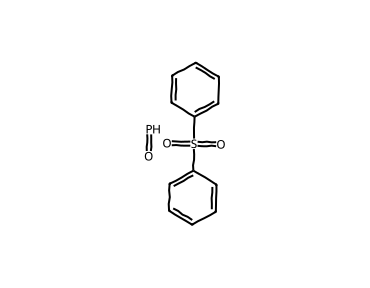 O=P.O=S(=O)(c1ccccc1)c1ccccc1